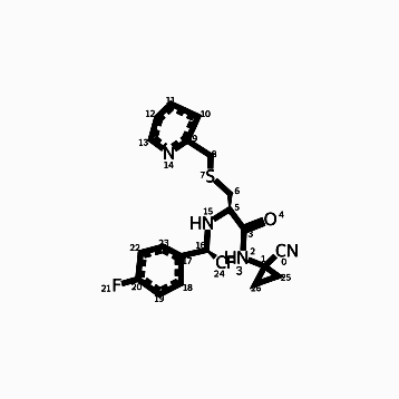 N#CC1(NC(=O)[C@H](CSCc2ccccn2)N[C@H](c2ccc(F)cc2)C(F)(F)F)CC1